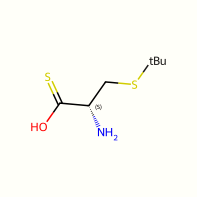 CC(C)(C)SC[C@H](N)C(O)=S